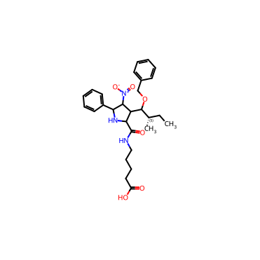 CC[C@H](C)C(OCc1ccccc1)C1C(C(=O)NCCCCC(=O)O)NC(c2ccccc2)C1[N+](=O)[O-]